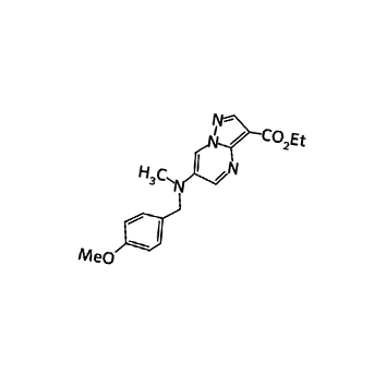 CCOC(=O)c1cnn2cc(N(C)Cc3ccc(OC)cc3)cnc12